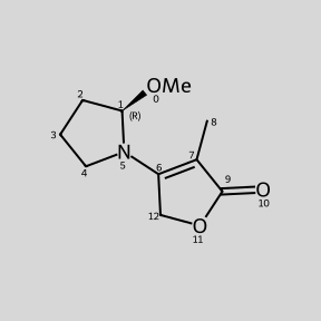 CO[C@@H]1CCCN1C1=C(C)C(=O)OC1